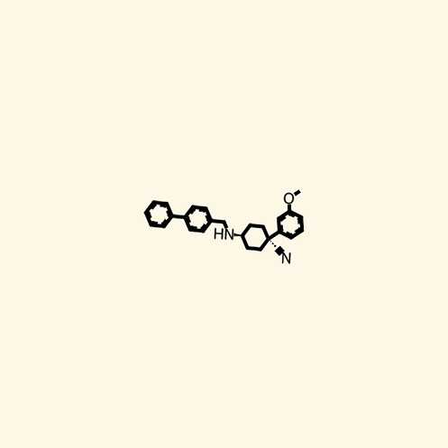 COc1cccc([C@]2(C#N)CC[C@H](NCc3ccc(-c4ccccc4)cc3)CC2)c1